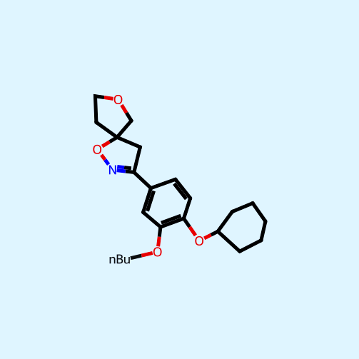 CCCCOc1cc(C2=NOC3(CCOC3)C2)ccc1OC1CCCCC1